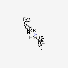 CCCCC(C)C(=O)N(C=O)c1cc(NC)c(/C=C/C(=O)c2cnn3c2[nH]c2cc(Oc4ccccc4F)ncc23)cc1F